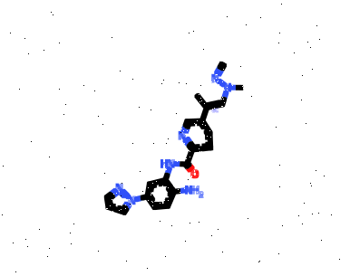 C=NN(C)/C=C(\C)c1ccc(C(=O)Nc2cc(-n3cccn3)ccc2N)nc1